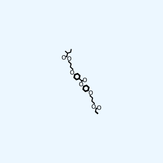 C=CC(=O)OCCCCOc1ccc(OC(=O)c2ccc(OCCCCOC(=O)C(C)CC)cc2)cc1